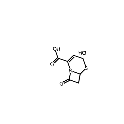 Cl.O=C(O)C1=CCSC2CC(=O)N12